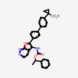 CC(OC(=O)Nc1c(-c2ccc(-c3ccc(C4(C(=O)O)CC4)cc3)cc2)oc2nnccc12)c1ccccc1